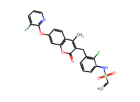 C=CS(=O)(=O)Nc1cccc(Cc2c(C)c3ccc(Oc4ncccc4F)cc3oc2=O)c1F